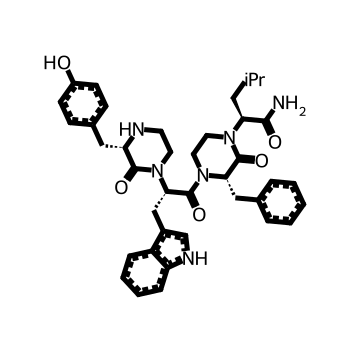 CC(C)C[C@@H](C(N)=O)N1CCN(C(=O)[C@H](Cc2c[nH]c3ccccc23)N2CCN[C@@H](Cc3ccc(O)cc3)C2=O)[C@@H](Cc2ccccc2)C1=O